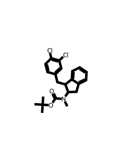 CN(C(=O)OC(C)(C)C)C1Cc2ccccc2C1Cc1ccc(Cl)c(Cl)c1